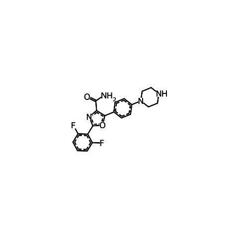 NC(=O)c1nc(-c2c(F)cccc2F)oc1-c1ccc(N2CCNCC2)cc1